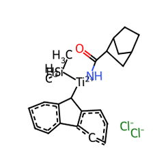 C[SiH](C)[Ti+2]([NH]C(=O)C1CC2CCC1C2)[CH]1c2ccccc2-c2ccccc21.[Cl-].[Cl-]